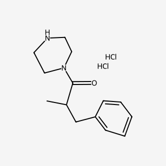 CC(Cc1ccccc1)C(=O)N1CCNCC1.Cl.Cl